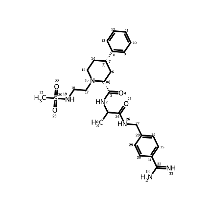 CC(NC(=O)[C@H]1C[C@@H](c2ccccc2)CCN1CCNS(C)(=O)=O)C(=O)NCc1ccc(C(=N)N)cc1